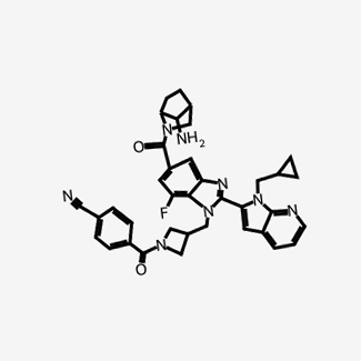 N#Cc1ccc(C(=O)N2CC(Cn3c(-c4cc5cccnc5n4CC4CC4)nc4cc(C(=O)N5CC6CCC5C6N)cc(F)c43)C2)cc1